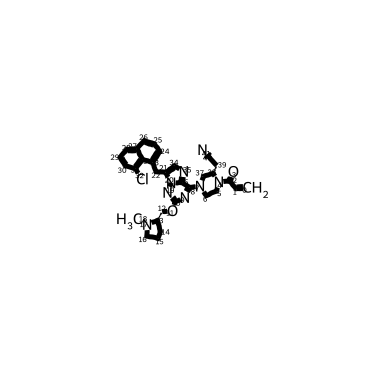 C=CC(=O)N1CCN(c2nc(OC[C@@H]3CCCN3C)nn3c(Cc4cccc5cccc(Cl)c45)cnc23)C[C@@H]1CC#N